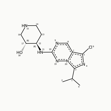 CC(C)c1nc(Cl)c2cnc(N[C@@H]3CCNC[C@H]3O)nn12